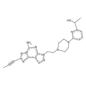 CC#Cc1nc2c3cnn(CCN4CCN(c5cccc(C(C)O)n5)CC4)c3nc(N)n2n1